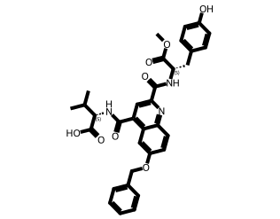 COC(=O)[C@H](Cc1ccc(O)cc1)NC(=O)c1cc(C(=O)N[C@H](C(=O)O)C(C)C)c2cc(OCc3ccccc3)ccc2n1